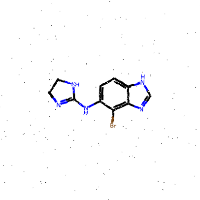 Brc1c(NC2=NCCN2)ccc2[nH]cnc12